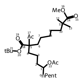 CCCCCC(CCCC(CCCCCC(C)(C)C(=O)OC)(C(C)=O)C(=O)OC(C)(C)C)OC(C)=O